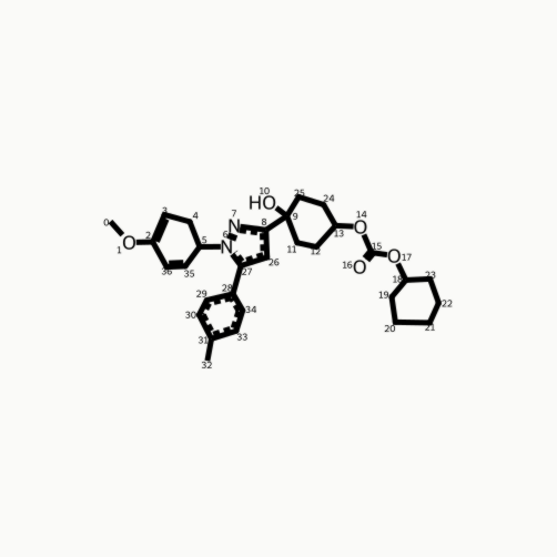 COC1=CCC(n2nc(C3(O)CCC(OC(=O)OC4CCCCC4)CC3)cc2-c2ccc(C)cc2)C=C1